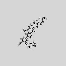 COc1ccc(C(=O)NC2CCN(C)CC2)cc1Nc1ncc(-c2ccc(C#N)c(O[C@@H](C)Cn3cnnn3)c2)cn1